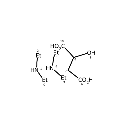 CCNCC.CCNCC.O=C(O)CC(O)C(=O)O